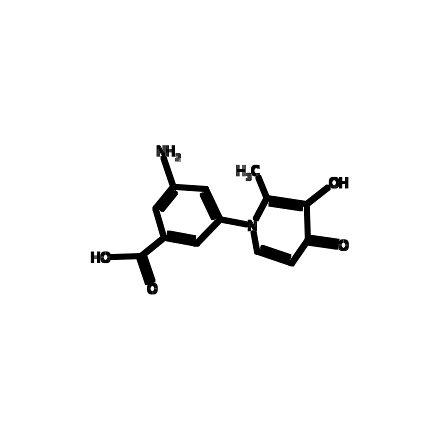 Cc1c(O)c(=O)ccn1-c1cc(N)cc(C(=O)O)c1